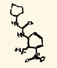 Cc1c(NC(=O)NC2CCCC2)cccc1[N+](=O)[O-]